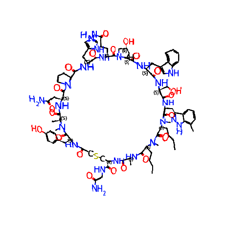 CCCC[C@H]1C(=O)N(C)[C@@H](CCCC)C(=O)N[C@@H](C)C(=O)N[C@H](C(=O)NCC(N)=O)CSCC(=O)N[C@@H](Cc2ccc(O)cc2)C(=O)N(C)[C@@H](C)C(=O)N[C@@H](CC(N)=O)C(=O)N2CCCC2C(=O)N[C@@H](Cc2cnc[nH]2)C(=O)N[C@@H](CCC(N)=O)C(=O)N2C[C@H](O)C[C@H]2C(=O)N[C@@H](Cc2c[nH]c3ccccc23)C(=O)N[C@@H](CO)C(=O)NC(Cc2n[nH]c3c(C)cccc23)C(=O)N1C